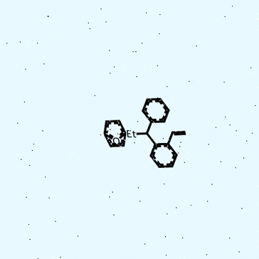 C=Cc1ccccc1C(CC)c1ccccc1.c1cc2ccc1o2